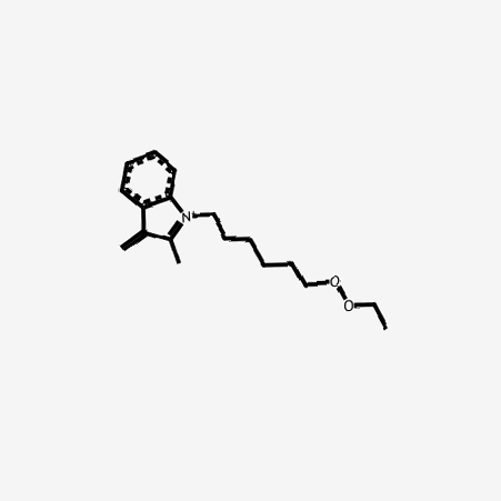 C=C1C(C)=[N+](CCCCCCOOCC)c2ccccc21